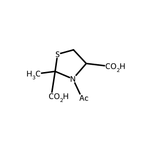 CC(=O)N1C(C(=O)O)CSC1(C)C(=O)O